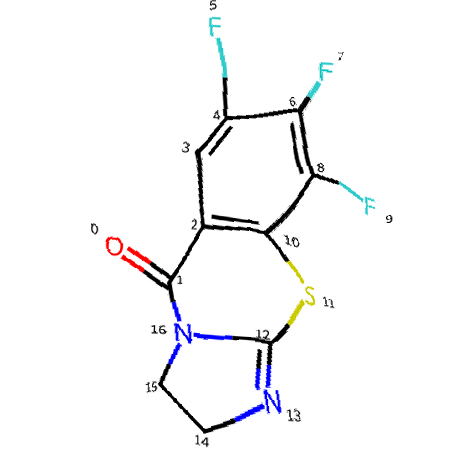 O=C1c2cc(F)c(F)c(F)c2SC2=NCCN12